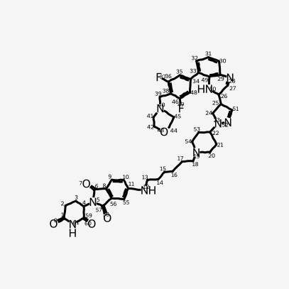 O=C1CCC(N2C(=O)c3ccc(NCCCCCCN4CCC(N5CC(C6C=Nc7cccc(-c8cc(F)c(CN9CCOCC9)c(F)c8)c7N6)C=N5)CC4)cc3C2=O)C(=O)N1